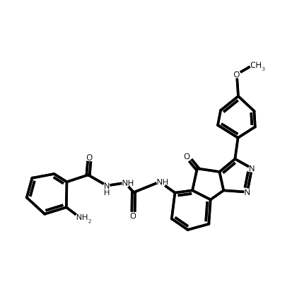 COc1ccc(C2=C3C(=O)c4c(NC(=O)NNC(=O)c5ccccc5N)cccc4C3N=N2)cc1